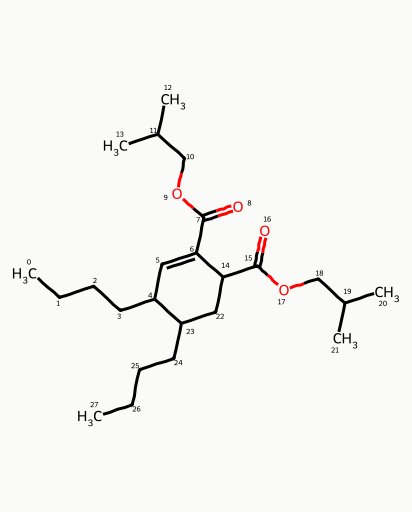 CCCCC1C=C(C(=O)OCC(C)C)C(C(=O)OCC(C)C)CC1CCCC